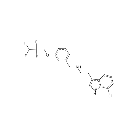 FC(F)C(F)(F)COc1cccc(CNCCc2c[nH]c3c(Cl)cccc23)c1